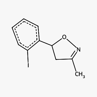 CC1=NOC(c2ccccc2I)C1